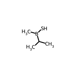 CB(S)C(C)C